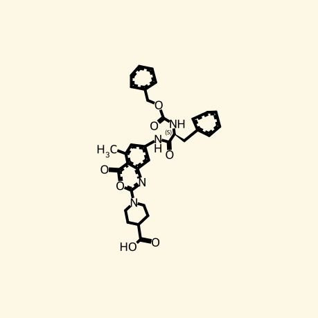 Cc1cc(NC(=O)[C@H](Cc2ccccc2)NC(=O)OCc2ccccc2)cc2nc(N3CCC(C(=O)O)CC3)oc(=O)c12